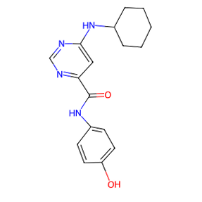 O=C(Nc1ccc(O)cc1)c1cc(NC2CCCCC2)ncn1